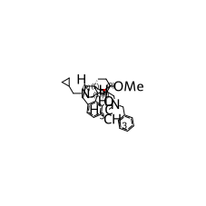 CO[C@]12CC[C@@]3(C[C@H]1CN(C)Cc1ccccc1)[C@H]1Cc4ccc(C)c5c4[C@@]3(CCN1CC1CC1)[C@H]2O5